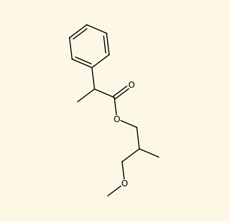 COCC(C)COC(=O)C(C)c1ccccc1